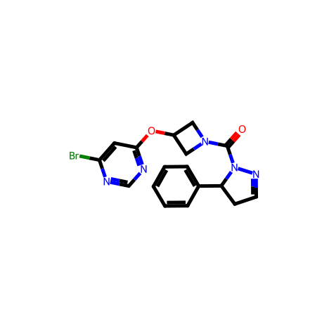 O=C(N1CC(Oc2cc(Br)ncn2)C1)N1N=CCC1c1ccccc1